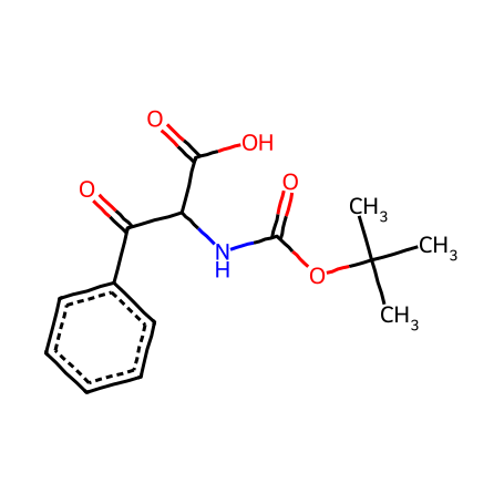 CC(C)(C)OC(=O)NC(C(=O)O)C(=O)c1ccccc1